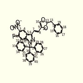 O=[N+]([O-])c1cc2c(C=CC3=COC(Cc4ccccc4)O3)nn(C(c3ccccc3)(c3ccccc3)c3ccccc3)c2cc1F